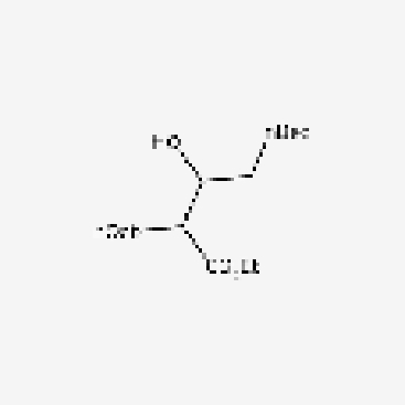 CCCCCCCCCCCC(O)C(CCCCCCCC)C(=O)OCC